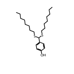 CCCCCCCCSC(SCCCCCCCC)c1ccc(O)cc1